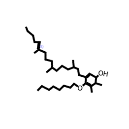 CCCC/C=C(\C)CCCC(C)CCCC(C)CCC1=CC(O)C(C)C(C)=C1OCCCCCCCC